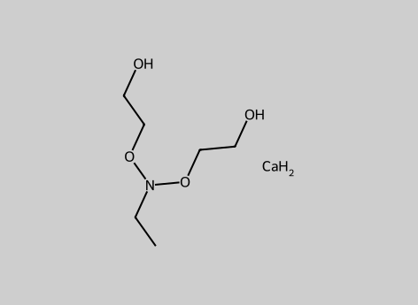 CCN(OCCO)OCCO.[CaH2]